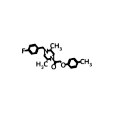 Cc1ccc(OCC(=O)N2C[C@H](C)N(Cc3ccc(F)cc3)C[C@H]2C)cc1